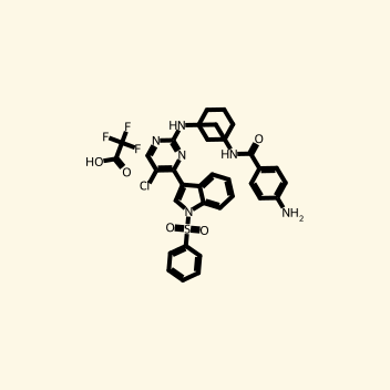 Nc1ccc(C(=O)NC23CCCC(Nc4ncc(Cl)c(-c5cn(S(=O)(=O)c6ccccc6)c6ccccc56)n4)(C2)C3)cc1.O=C(O)C(F)(F)F